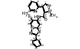 Cc1cccc(-c2cnn(C)c2C(=O)Nc2cc3nc(-c4ccccc4)nn3cc2F)n1